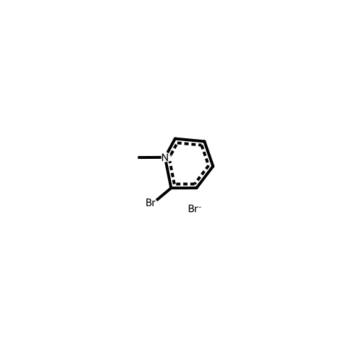 C[n+]1ccccc1Br.[Br-]